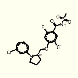 CS(=O)(=O)NC(=O)c1cc(Cl)c(OC[C@H]2CCCN2c2cccc(Cl)c2)cc1F